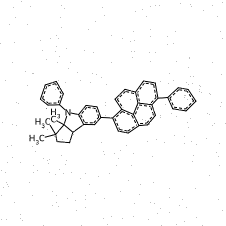 CC1(C)CCC2c3cc(-c4ccc5ccc6c(-c7ccccc7)ccc7ccc4c5c76)ccc3N(c3ccccc3)C21C